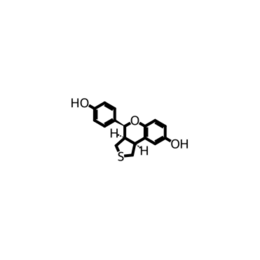 Oc1ccc([C@H]2Oc3ccc(O)cc3[C@H]3CSC[C@H]32)cc1